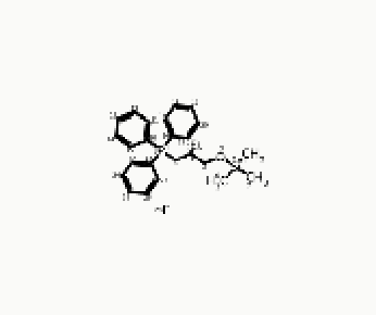 CCC(CO[Si](C)(C)C)C[P+](c1ccccc1)(c1ccccc1)c1ccccc1.[I-]